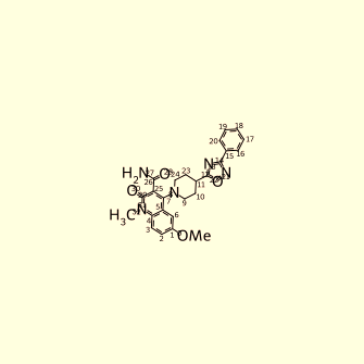 COc1ccc2c(c1)c(N1CCC(c3nc(-c4ccccc4)no3)CC1)c(C(N)=O)c(=O)n2C